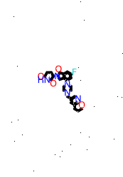 O=C1CCC(N2Cc3c(cc(F)cc3N3CCN(Cc4cnc5c(c4)CCCO5)CC3)C2=O)C(=O)N1